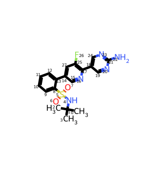 CC(C)(C)NS(=O)(=O)c1ccccc1-c1cnc(-c2cnc(N)nc2)c(F)c1